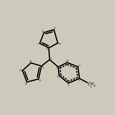 Cc1ccc(C(C2=CC=CC2)C2=CC=CC2)cc1